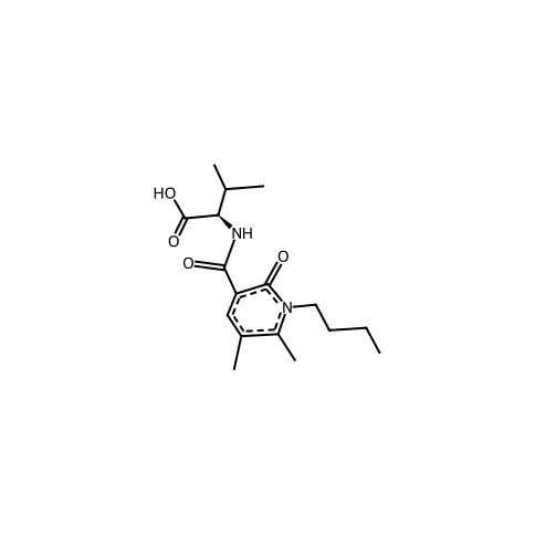 CCCCn1c(C)c(C)cc(C(=O)N[C@@H](C(=O)O)C(C)C)c1=O